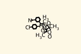 Cc1cc(C(C)(COC=O)C(=O)N[C@@H](C)[C@@H](Cc2ccc(Cl)cc2)c2cccc(C#N)c2)no1